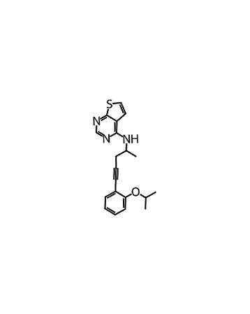 CC(CC#Cc1ccccc1OC(C)C)Nc1ncnc2sccc12